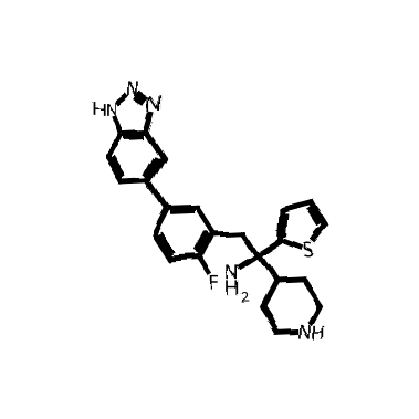 NC(Cc1cc(-c2ccc3[nH]nnc3c2)ccc1F)(c1cccs1)C1CCNCC1